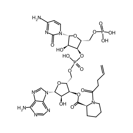 C=CCCC(=O)N1CCCC[C@H]1C(=O)O[C@H]1[C@@H](O)[C@H](n2cnc3c(N)ncnc32)O[C@@H]1COP(=O)(O)O[C@H]1[C@@H](O)[C@H](n2ccc(N)nc2=O)O[C@@H]1COP(=O)(O)O